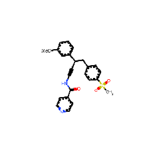 COc1cccc(C(C#CNC(=O)c2ccncc2)Cc2ccc(S(C)(=O)=O)cc2)c1